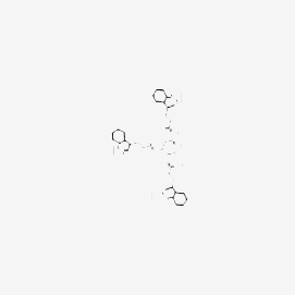 O=C(CCc1c[nH]c2ccccc12)O[C@@H]1C[C@H](OC(=O)CCc2c[nH]c3ccccc23)[C@H](OC(=O)CCc2c[nH]c3ccccc23)CO1